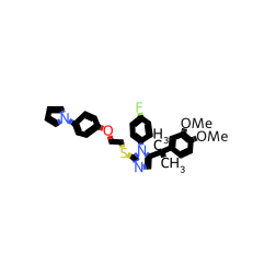 COc1ccc(C(C)(C)c2cnc(SCCOc3ccc(-n4cccc4)cc3)n2-c2ccc(F)cc2)cc1OC